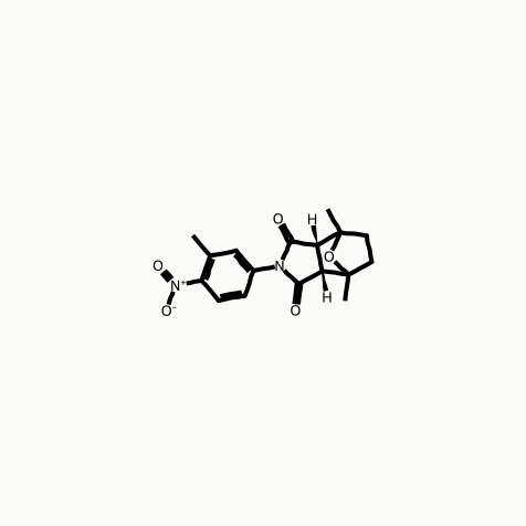 Cc1cc(N2C(=O)[C@@H]3[C@H](C2=O)C2(C)CCC3(C)O2)ccc1[N+](=O)[O-]